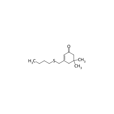 CCCCSCC1=CC(=O)CC(C)(C)C1